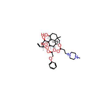 C=C[C@@]1(C)CC(=O)[C@]2(O)[C@@]3(C)[C@@H](O)CCC(C)(C)[C@@H]3[C@H](OC(=O)CCN3CCN(C)CC3)[C@H](OC(=O)COc3ccccc3)[C@@]2(C)O1